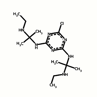 CCNC(C)(C)Nc1nc(Cl)nc(NC(C)(C)NCC)n1